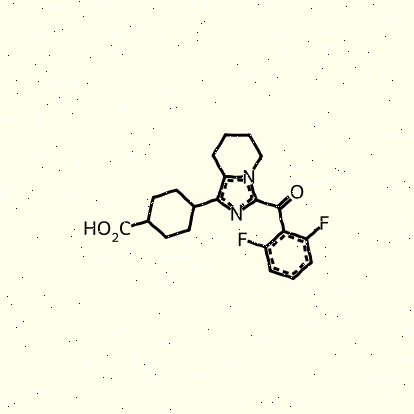 O=C(c1c(F)cccc1F)c1nc(C2CCC(C(=O)O)CC2)c2n1CCCC2